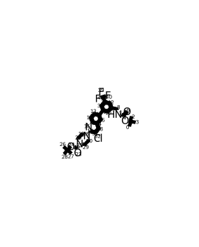 CC(C)(C)OC(=O)NCc1cc(-c2ccc3nc(N4CCN(C(=O)OC(C)(C)C)CC4)c(Cl)cc3c2)cc(C(F)(F)F)c1